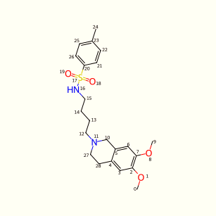 COc1cc2c(cc1OC)CN(CCCCNS(=O)(=O)c1ccc(C)cc1)CC2